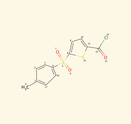 Cc1ccc(S(=O)(=O)c2ccc(C(=O)Cl)s2)cc1